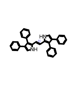 C(=C\c1[nH]cc(-c2ccccc2)c1-c1ccccc1)/c1[nH]cc(-c2ccccc2)c1-c1ccccc1